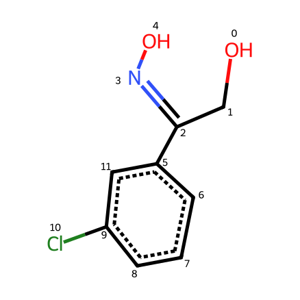 OCC(=NO)c1cccc(Cl)c1